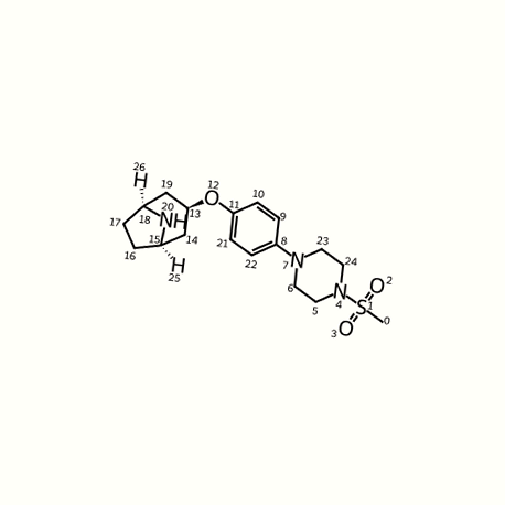 CS(=O)(=O)N1CCN(c2ccc(O[C@H]3C[C@H]4CC[C@@H](C3)N4)cc2)CC1